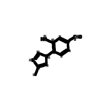 Cc1cn(-c2ccc(C=O)cc2O)cn1